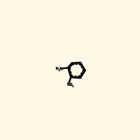 Nc1ccc[c]c1[N+](=O)[O-]